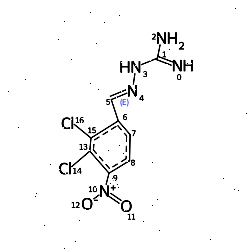 N=C(N)N/N=C/c1ccc([N+](=O)[O-])c(Cl)c1Cl